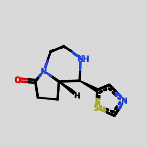 O=C1CC[C@H]2[C@H](c3cncs3)NCCN12